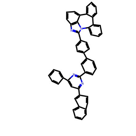 c1ccc(-c2cc(-c3ccc4ccccc4c3)nc(-c3cccc(-c4ccc(-c5nc6cccc7c6n5-c5ccccc5-c5ccccc5-7)cc4)c3)n2)cc1